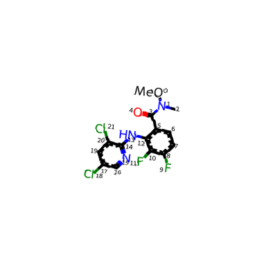 CON(C)C(=O)c1ccc(F)c(F)c1Nc1ncc(Cl)cc1Cl